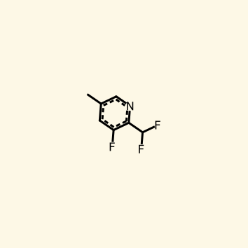 Cc1cnc(C(F)F)c(F)c1